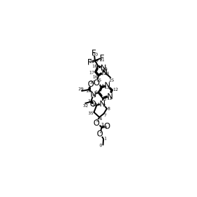 CCOC(=O)OC1CCN(c2ncnc(Oc3cc(C(F)(F)F)nn3C)c2N(C(C)=O)C(C)=O)CC1